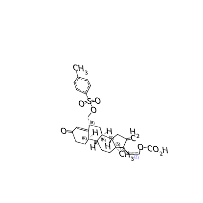 C=C1C[C@H]2[C@@H]3C[C@@H](COS(=O)(=O)c4ccc(C)cc4)C4=CC(=O)CC[C@@H]4[C@H]3CC[C@]2(C)[C@@H]1/C=C\OC(=O)O